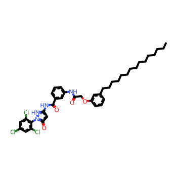 CCCCCCCCCCCCCCCc1cccc(OCC(=O)Nc2cccc(C(=O)Nc3cc(=O)n(-c4c(Cl)cc(Cl)cc4Cl)[nH]3)c2)c1